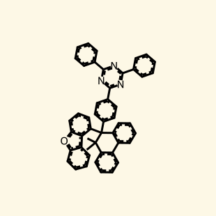 CC1(C)c2ccccc2-c2ccccc2C1(c1ccc(-c2nc(-c3ccccc3)nc(-c3ccccc3)n2)cc1)c1cccc2oc3ccccc3c12